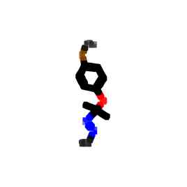 CC(C)(C)/N=N/C(C)(C)Oc1ccc(SC(C)(C)C)cc1